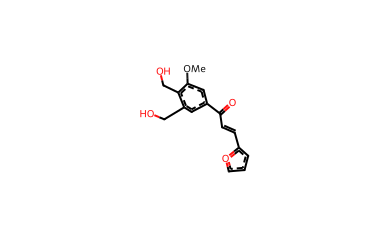 COc1cc(C(=O)/C=C/c2ccco2)cc(CO)c1CO